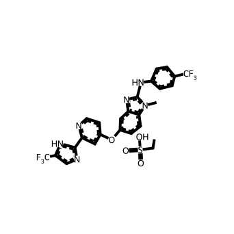 CCS(=O)(=O)O.Cn1c(Nc2ccc(C(F)(F)F)cc2)nc2cc(Oc3ccnc(-c4ncc(C(F)(F)F)[nH]4)c3)ccc21